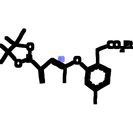 C=C(/C=C(\C)Oc1cc(C)ccc1CC(=O)OCC)B1OC(C)(C)C(C)(C)O1